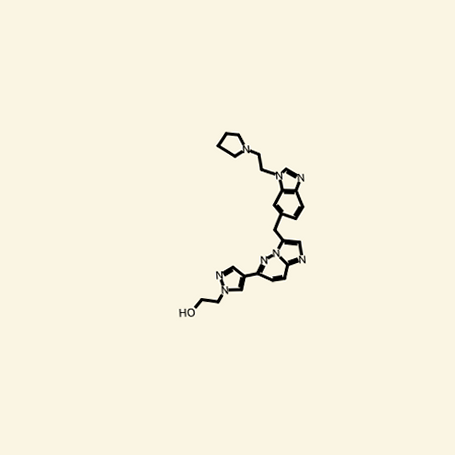 OCCn1cc(-c2ccc3ncc(Cc4ccc5ncn(CCN6CCCC6)c5c4)n3n2)cn1